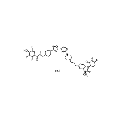 Cl.Cn1c(=O)n([C@@H]2CCC(=O)NC2=O)c2ccc(CCCN3CCN(c4nccc(-c5nc(C6CCC(CNC(=O)c7cc(F)c(O)c(F)c7F)CC6)no5)n4)CC3)cc21